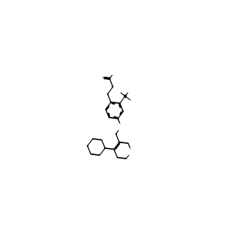 CC(F)(F)c1cc(OCC2=C(C3CCCCC3)CCOC2)ccc1CCC(=O)O